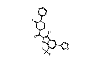 O=C(c1nc2c(C(F)(F)F)cc(-c3ccoc3)cn2c1Cl)N1CCN(c2cccnc2)C(=O)C1